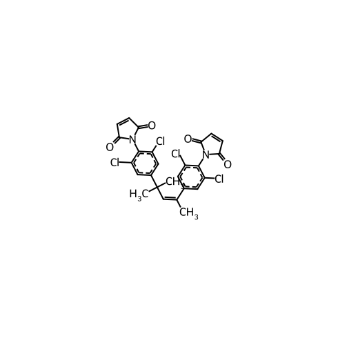 CC(=CC(C)(C)c1cc(Cl)c(N2C(=O)C=CC2=O)c(Cl)c1)c1cc(Cl)c(N2C(=O)C=CC2=O)c(Cl)c1